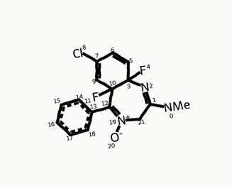 CNC1=NC2(F)C=CC(Cl)=CC2(F)C(c2ccccc2)=[N+]([O-])C1